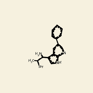 CC(S)C(N)c1c[nH]c2ncc(-c3ccccc3)cc12